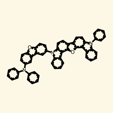 c1ccc(N(c2ccccc2)c2ccc3oc4ccc(-n5c6ccccc6c6c7oc8c(ccc9c8c8ccccc8n9-c8ccccc8)c7ccc65)cc4c3c2)cc1